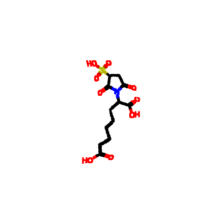 O=C(O)CCCCCC(C(=O)O)N1C(=O)C[C@H](S(=O)(=O)O)C1=O